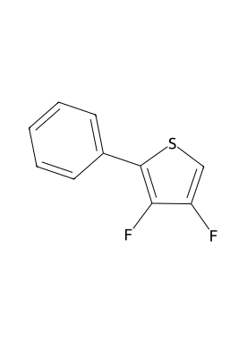 Fc1csc(-c2ccccc2)c1F